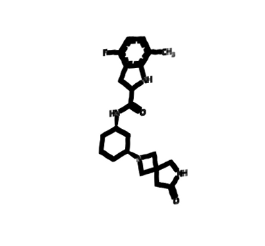 Cc1ccc(F)c2c1NC(C(=O)N[C@@H]1CCC[C@H](N3CC4(CNC(=O)C4)C3)C1)C2